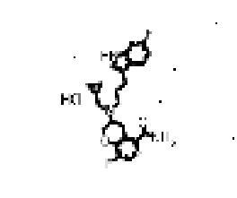 Cl.NC(=O)c1ccc(F)c2c1CC(N(CCCc1c[nH]c3cc(F)ccc13)CC1CC1)CO2